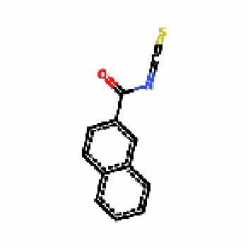 O=C(N=C=S)c1ccc2ccccc2c1